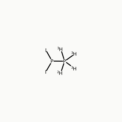 [2H]P([3H])([3H])([3H])P(I)I